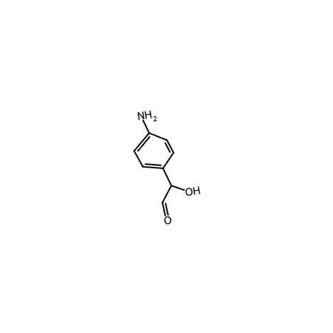 Nc1ccc(C(O)C=O)cc1